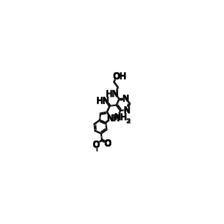 COC(=O)c1ccc2cc(C(=N)c3c(N)ncnc3NCCO)[nH]c2c1